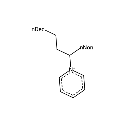 CCCCCCCCCCCCC(CCCCCCCCC)[n+]1ccccc1